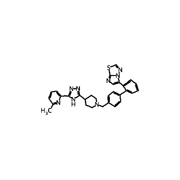 Cc1cccc(-c2nnc(C3CCN(Cc4ccc(-c5ccccc5-c5cnc6scnn56)cc4)CC3)[nH]2)n1